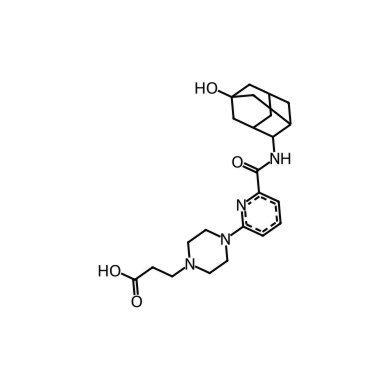 O=C(O)CCN1CCN(c2cccc(C(=O)NC3C4CC5CC3CC(O)(C5)C4)n2)CC1